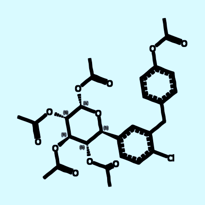 CC(=O)Oc1ccc(Cc2cc([C@@H]3O[C@@H](OC(C)=O)[C@@H](OC(C)=O)[C@H](OC(C)=O)[C@H]3OC(C)=O)ccc2Cl)cc1